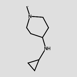 [CH2]N1CCC(NC2CC2)CC1